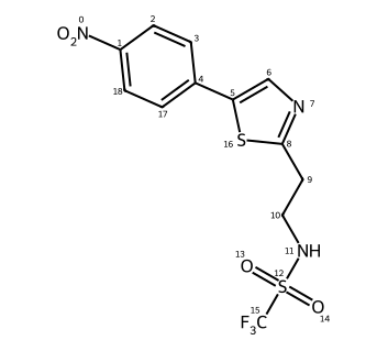 O=[N+]([O-])c1ccc(-c2cnc(CCNS(=O)(=O)C(F)(F)F)s2)cc1